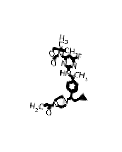 C=CC(=O)N1CCN(C(CC2CC2)c2ccc([C@H](C)Nc3nc(F)cc(N4C(=O)OCC4(C)C)n3)cc2)CC1